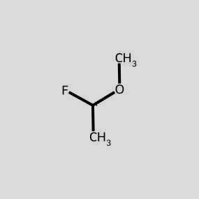 CO[C](C)F